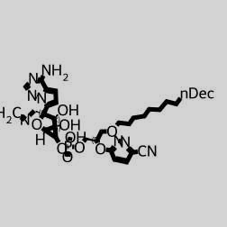 C=NC[C@@]1(c2ccc3c(N)ncnn23)O[C@@H]2C(OP(=O)(O)OC[C@@H](COCCCCCCCCCCCCCCCCCC)Oc3ccc(C#N)nn3)[C@]2(O)[C@H]1O